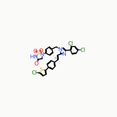 O=C1CN(c2ccc(Cn3cc(-c4ccc(Cl)cc4Cl)nc3/C=C/c3ccc(-c4ccc(Cl)s4)cc3)cc2)S(=O)(=O)N1